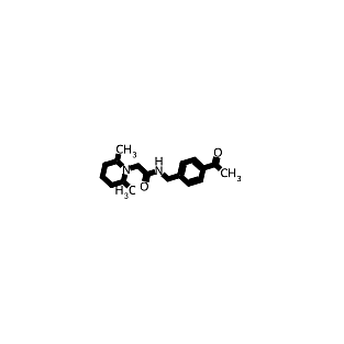 CC(=O)c1ccc(CNC(=O)CN2C(C)CCCC2C)cc1